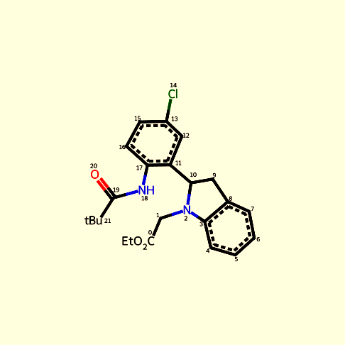 CCOC(=O)CN1c2ccccc2CC1c1cc(Cl)ccc1NC(=O)C(C)(C)C